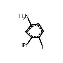 CC(C)c1cc(N)ccc1I